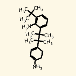 CC(C)(C)c1cccc(C(C)(C)C(C)(C)C2=CC=C(N)CC2)c1N